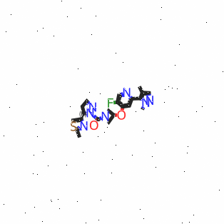 Cc1nc([C@H]2CC=NN2C(=O)N2CC(Oc3cc(-c4c(C)cnn4C)ncc3F)C2)cs1